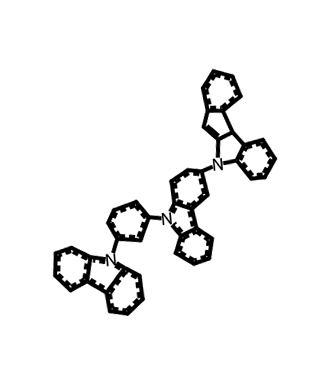 C1=C2C(c3ccccc31)c1ccccc1N2c1ccc2c(c1)c1ccccc1n2-c1cccc(-n2c3ccccc3c3ccccc32)c1